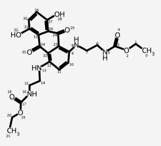 CCOC(=O)NCCNc1ccc(NCCNC(=O)OCC)c2c1C(=O)c1c(O)ccc(O)c1C2=O